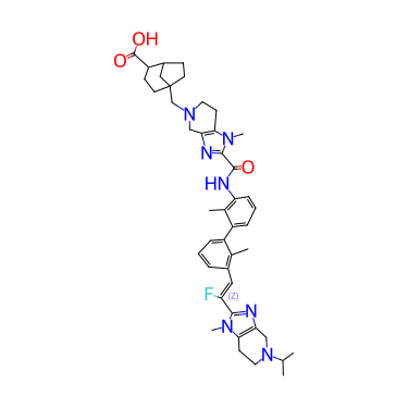 Cc1c(/C=C(\F)c2nc3c(n2C)CCN(C(C)C)C3)cccc1-c1cccc(NC(=O)c2nc3c(n2C)CCN(CC24CCC(C2)C(C(=O)O)CC4)C3)c1C